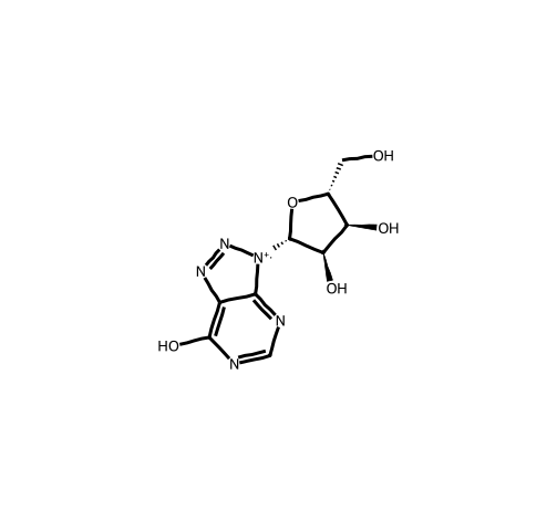 OC[C@H]1O[C@@H]([N+]2N=Nc3c(O)ncnc32)[C@H](O)[C@@H]1O